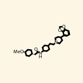 CO[C@H]1CC[C@H](CC(=O)NC2CCC(CCN3CCC(c4cccc5c4OCO5)CC3)CC2)CC1